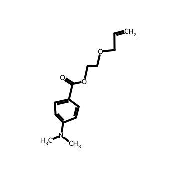 C=CCOCCOC(=O)c1ccc(N(C)C)cc1